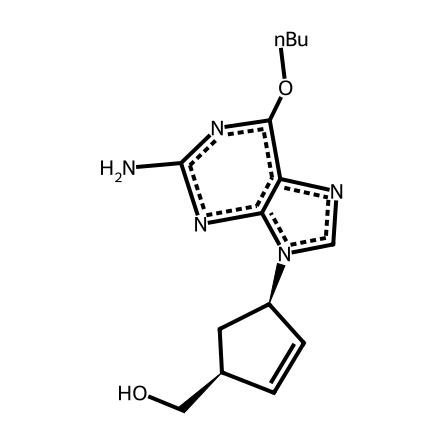 CCCCOc1nc(N)nc2c1ncn2[C@H]1C=C[C@@H](CO)C1